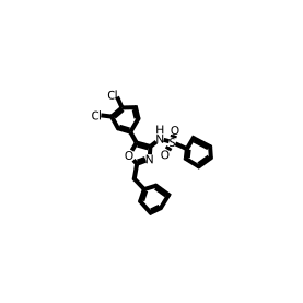 O=S(=O)(Nc1nc(Cc2ccccc2)oc1-c1ccc(Cl)c(Cl)c1)c1ccccc1